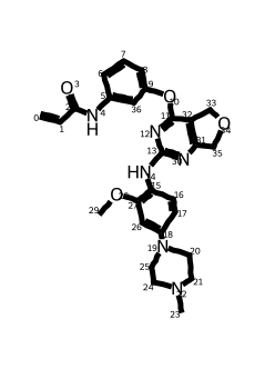 C=CC(=O)Nc1cccc(Oc2nc(Nc3ccc(N4CCN(C)CC4)cc3OC)nc3c2COC3)c1